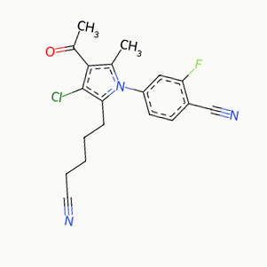 CC(=O)c1c(Cl)c(CCCCC#N)n(-c2ccc(C#N)c(F)c2)c1C